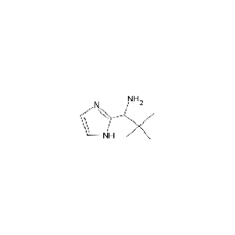 CC(C)(C)C(N)c1ncc[nH]1